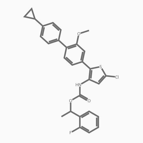 COc1cc(-c2sc(Cl)cc2NC(=O)OC(C)c2ccccc2F)ccc1-c1ccc(C2CC2)cc1